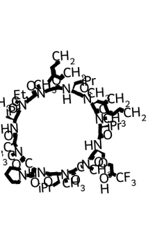 C=C/C=C\C(=C)C[C@H]1C(=O)N(C)[C@@H](C(C)C)C(=O)N[C@@H](COCC(O)C(F)(F)F)C(=O)N(C)CC(=O)N(C)[C@@H](CC(C)C)C(=O)NC(C(=O)N2CCCCC2)CC(=O)N(C)[C@@H](C)C(=O)N[C@@H](CC(C)C)C(=O)N(C)[C@@H](CC)C(=O)N(C)[C@@H](C/C(C=C)=C/C=C)C(=O)N[C@@H](CC(C)C)C(=O)N1C